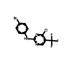 FC(F)(F)c1cnc(Nc2ccc(Br)cc2)nc1Cl